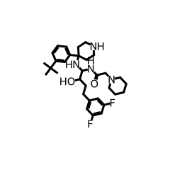 CC(C)(C)c1cccc(C2(NC(NC(=O)CN3CCCCC3)C(O)CCc3cc(F)cc(F)c3)CCNCC2)c1